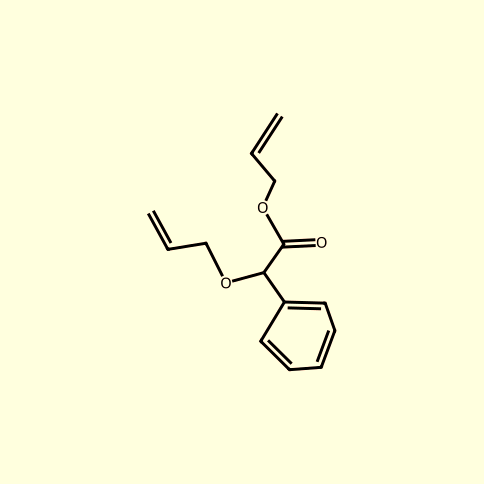 C=CCOC(=O)C(OCC=C)c1ccccc1